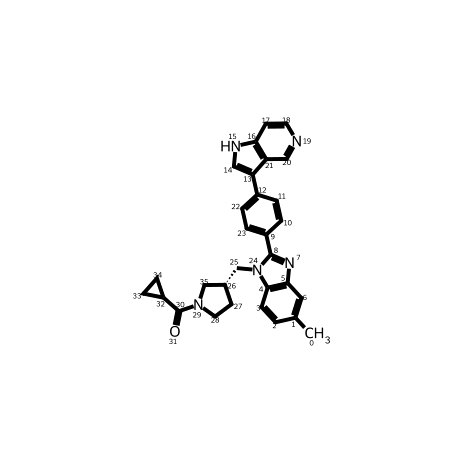 Cc1ccc2c(c1)nc(-c1ccc(-c3c[nH]c4ccncc34)cc1)n2C[C@@H]1CCN(C(=O)C2CC2)C1